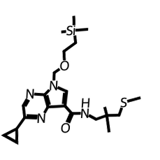 CSCC(C)(C)CNC(=O)c1cn(COCC[Si](C)(C)C)c2ncc(C3CC3)nc12